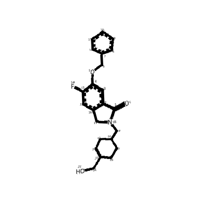 O=C1c2cc(OCc3ccccc3)c(F)cc2CN1CC1CCC(CO)CC1